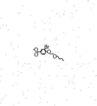 CCCCOCCOc1ccc(C(=O)OC)cc1Br